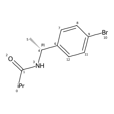 CC(C)C(=O)N[C@H](C)c1ccc(Br)cc1